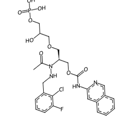 CC(=O)N(NCc1cccc(F)c1Cl)[C@@H](COCC(O)COP(=O)(O)O)COC(=O)Nc1cc2ccccc2cn1